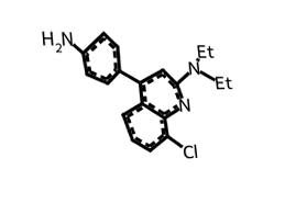 CCN(CC)c1cc(-c2ccc(N)cc2)c2cccc(Cl)c2n1